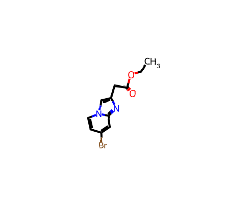 CCOC(=O)Cc1cn2ccc(Br)cc2n1